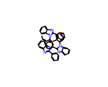 C/C=C\C(=C(/Cn1c(-c2ccccc2)nc2ccccc21)c1ccccc1-n1c(-c2ccccc2)nc2ccccc21)n1c(-c2ccccc2)nc2ccccc21